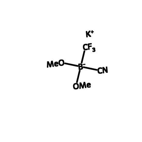 CO[B-](C#N)(OC)C(F)(F)F.[K+]